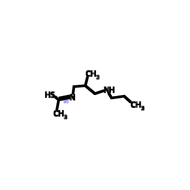 CCCNCC(C)C/N=C(/C)S